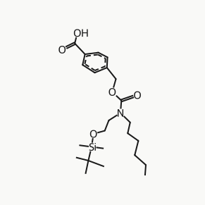 CCCCCCN(CCO[Si](C)(C)C(C)(C)C)C(=O)OCc1ccc(C(=O)O)cc1